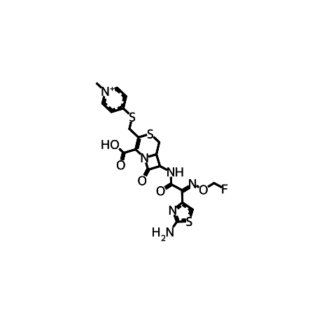 C[n+]1ccc(SCC2=C(C(=O)O)N3C(=O)C(NC(=O)C(=NOCF)c4csc(N)n4)C3CS2)cc1